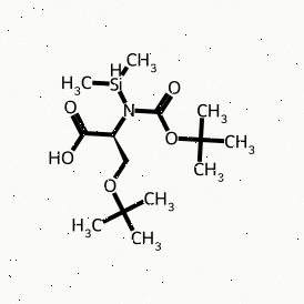 C[SiH](C)N(C(=O)OC(C)(C)C)[C@@H](COC(C)(C)C)C(=O)O